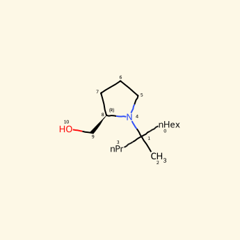 CCCCCCC(C)(CCC)N1CCC[C@@H]1CO